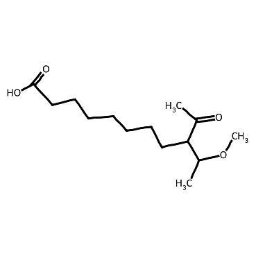 COC(C)C(CCCCCCCC(=O)O)C(C)=O